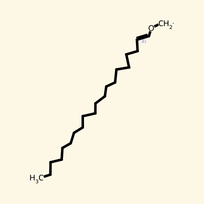 [CH2]O/C=C/CCCCCCCCCCCCCCCCCC